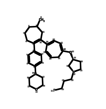 CC1CCCC(c2ccc(N3CCOCC3)cc2)=C(C2=CC=C(O[C@H]3CCN(CCCF)C3)CC=C2)C1